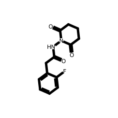 O=C(Cc1ccccc1F)NN1C(=O)CCCC1=O